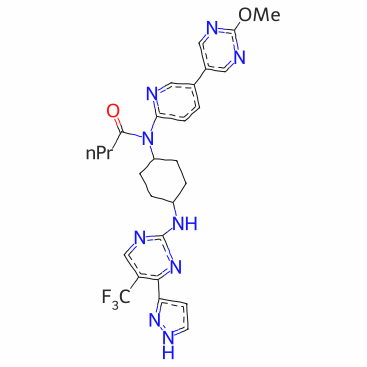 CCCC(=O)N(c1ccc(-c2cnc(OC)nc2)cn1)C1CCC(Nc2ncc(C(F)(F)F)c(-c3cc[nH]n3)n2)CC1